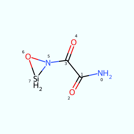 NC(=O)C(=O)N1O[SiH2]1